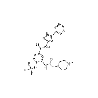 CN1CCN(CC(=O)Nc2cc(C(=O)Nc3nnc(-c4cccnc4)s3)ccc2OC(F)(F)F)CC1